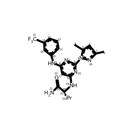 Cc1cc(C)n(-c2nc(Nc3cccc(C(F)(F)F)c3)cc(N[C@H](C(N)=O)C(C)C)n2)n1